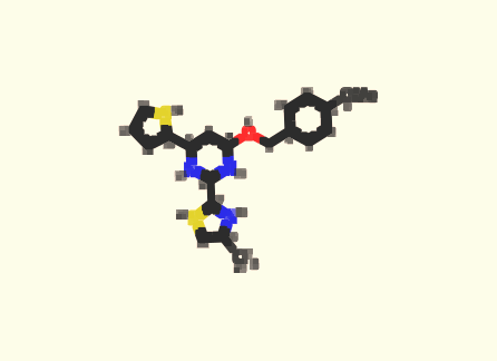 COc1ccc(COc2cc(-c3cccs3)nc(-c3nc(C(F)(F)F)cs3)n2)cc1